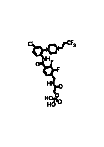 O=C(COP(=O)(O)O)NCc1ccc(C(=O)Nc2ccc(Cl)cc2N2CCN(CCC(F)(F)F)CC2)c(F)c1F